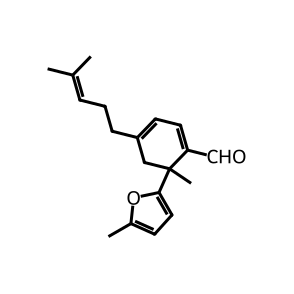 CC(C)=CCCC1=CC=C(C=O)C(C)(c2ccc(C)o2)C1